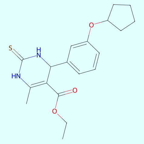 CCOC(=O)C1=C(C)NC(=S)NC1c1cccc(OC2CCCC2)c1